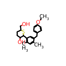 CCOc1ccc(Cc2cc(C3SC(CO)CCC3O)c(C)cc2C)cc1